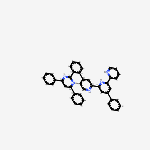 c1ccc(-c2cc(-c3ccccn3)nc(-c3cc(-c4ccccc4-c4nc(-c5ccccc5)cc(-c5ccccc5)n4)ccn3)c2)cc1